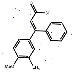 COc1ccc(/C(=C/C(=O)S)c2ccccc2)cc1C